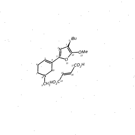 CC[C@H](C)c1nc(C2=CCCN(C)C2)oc1OC.O=C(O)C=CC(=O)O